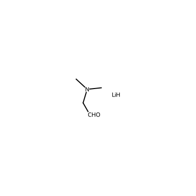 CN(C)CC=O.[LiH]